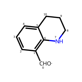 O=[C]c1cccc2c1NCCC2